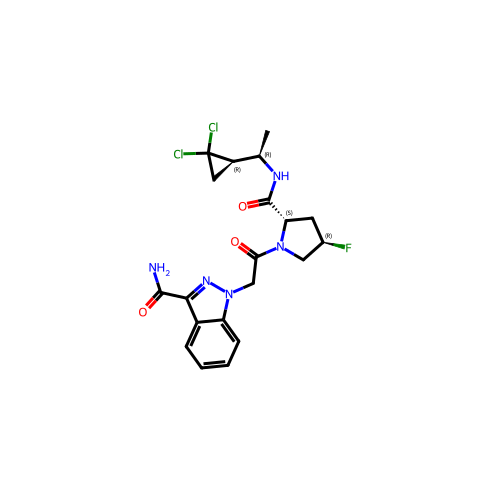 C[C@@H](NC(=O)[C@@H]1C[C@@H](F)CN1C(=O)Cn1nc(C(N)=O)c2ccccc21)[C@H]1CC1(Cl)Cl